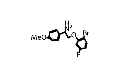 COc1ccc([C@@H](N)COc2cc(F)ccc2Br)cc1